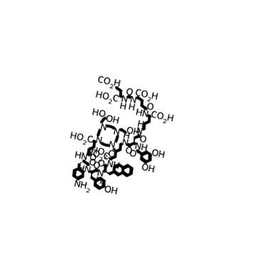 Nc1ccc(C[C@H](NC(=O)CCC(C(=O)O)N2CCN(CC(=O)O)CCN(CCO)CCN(CC(O)O)CC2)C(=O)N[C@H](Cc2ccc(O)cc2)C(=O)N[C@H](Cc2ccc3ccccc3c2)C(=O)N[C@H](CCCCNC(=O)[C@@H](CC(=O)NCCCC(NC(=O)CC[C@H](NC(=O)N[C@@H](CCC(=O)O)C(=O)O)C(=O)O)C(=O)O)NC(=O)c2cc(O)cc(O)c2)C(=O)O)cc1